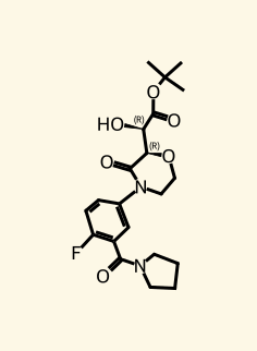 CC(C)(C)OC(=O)[C@H](O)[C@H]1OCCN(c2ccc(F)c(C(=O)N3CCCC3)c2)C1=O